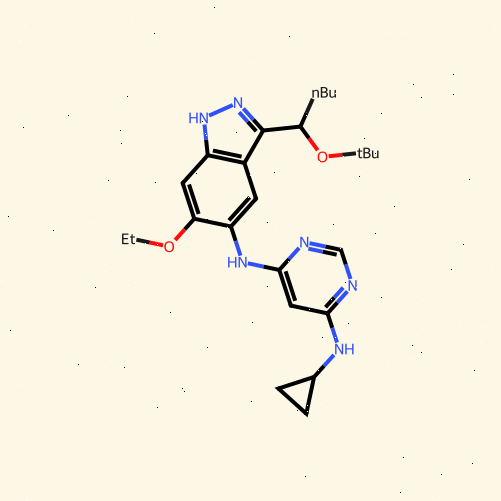 CCCCC(OC(C)(C)C)c1n[nH]c2cc(OCC)c(Nc3cc(NC4CC4)ncn3)cc12